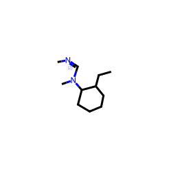 CCC1CCCCC1N(C)/C=N\C